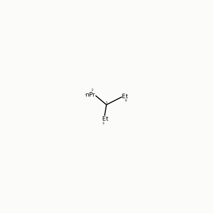 [CH2]CC([CH]CC)CC